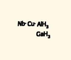 [AlH3].[Cu].[GaH3].[Nb]